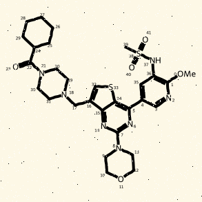 COc1ncc(-c2nc(N3CCOCC3)nc3c(CN4CCN(C(=O)C5CCCCC5)CC4)csc23)cc1NS(C)(=O)=O